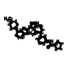 CN1CCN(c2ccnc3[nH]c(-c4n[nH]c5ncc(-c6cncc(NC(=O)C7CCCC7)c6)c(F)c45)nc23)CC1